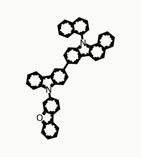 c1ccc2c(-n3c4ccc(-c5ccc6c(c5)c5ccccc5n6-c5ccc6c(c5)oc5ccccc56)cc4c4ccc5ccccc5c43)cccc2c1